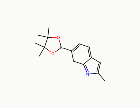 CC1=CC2=CC=C(B3OC(C)(C)C(C)(C)O3)CC2=N1